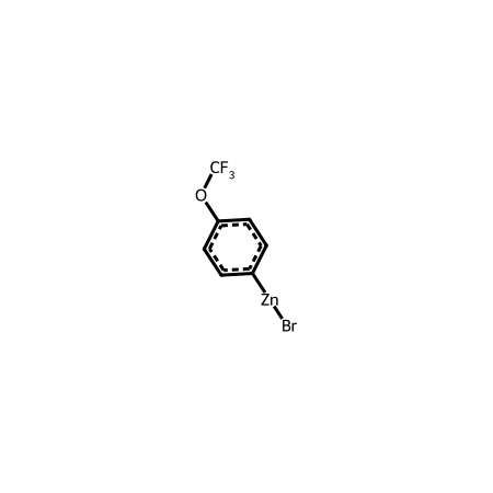 FC(F)(F)Oc1cc[c]([Zn][Br])cc1